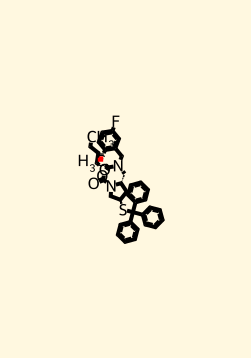 CCCCOC(=O)N1C[C@H](SC(c2ccccc2)(c2ccccc2)c2ccccc2)C[C@H]1CN(Cc1cc(F)ccc1F)C(C)=O